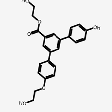 O=C(OCCO)c1cc(-c2ccc(O)cc2)cc(-c2ccc(OCCO)cc2)c1